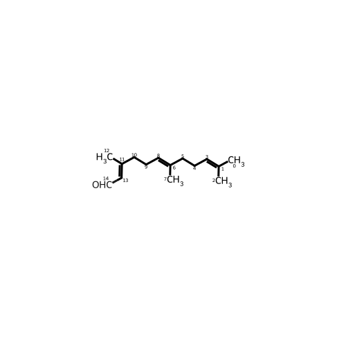 CC(C)=CCC/C(C)=C/CCC(C)=CC=O